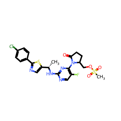 C[C@H](Nc1ncc(F)c(N2C(=O)CCC2COS(C)(=O)=O)n1)c1cnc(-c2ccc(Cl)cc2)s1